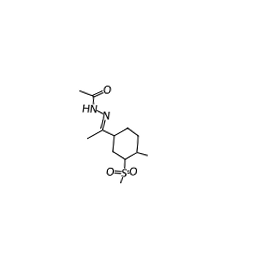 CC(=O)N/N=C(\C)C1CCC(C)C(S(C)(=O)=O)C1